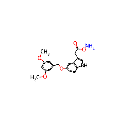 COc1cc(COc2ccc3c(c2)C(CC(=O)ON)=CB3)cc(OC)c1